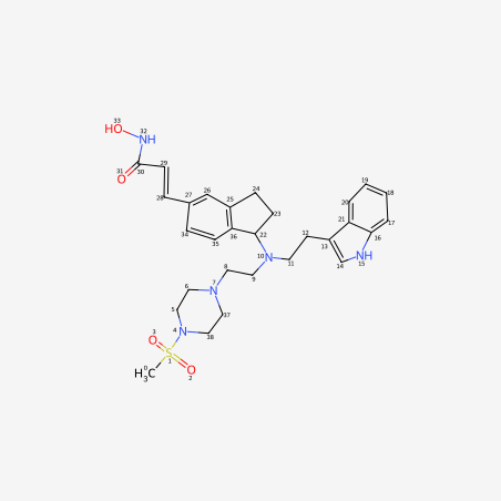 CS(=O)(=O)N1CCN(CCN(CCc2c[nH]c3ccccc23)C2CCc3cc(C=CC(=O)NO)ccc32)CC1